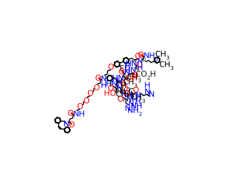 CCc1cc(OCCCCNC(=O)CCOCCOCCOCCOCCNC(=O)CCC(=O)N2Cc3ccccc3C#Cc3ccccc32)ccc1-c1ccc(C[C@H](NC(=O)[C@H](CC(=O)O)NC(=O)[C@H](C)NC(=O)[C@@H](NC(=O)[C@](C)(Cc2ccccc2F)NC(=O)[C@@H](NC(=O)CNC(=O)[C@H](C/C(N=N)=N/N)NC(=O)C(C)(C)C(=O)NCCc2cnc[nH]2)[C@@H](C)O)[C@@H](C)O)C(=O)N[C@@H](CCCc2cc(C)cc(C)c2)C(N)=O)cc1